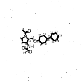 CC(=O)N1CCC(NS(C)(=O)=O)[C@@H]1COC1CCC(c2ccccc2)CC1